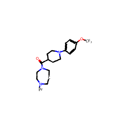 CC(C)N1CCCN(C(=O)C2CCN(c3ccc(OC(F)(F)F)cc3)CC2)CC1